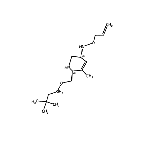 C=CCON[C@@H]1C=C(C)[C@@H](CO[SiH2]CC(C)(C)C)NC1